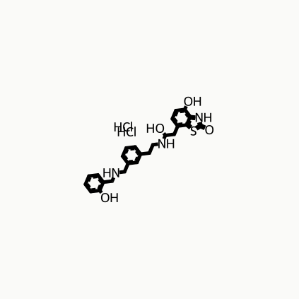 Cl.Cl.O=c1[nH]c2c(O)ccc(CC(O)NCCc3cccc(CNCc4ccccc4O)c3)c2s1